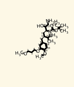 COCCCOc1cc(C[C@@H](C[C@H](NC(=O)OC(C)(C)C)C(O)CN)C(C)C)ccc1OC